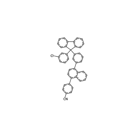 N#Cc1ccc(-c2ccc(-c3cccc(C4(c5cccc(Cl)c5)c5ccccc5-c5ccccc54)c3)c3ccccc23)cc1